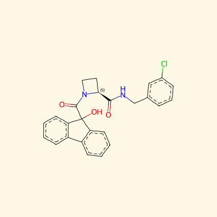 O=C(NCc1cccc(Cl)c1)[C@@H]1CCN1C(=O)C1(O)c2ccccc2-c2ccccc21